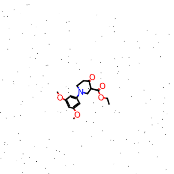 CCOC(=O)C1CN(c2cc(OC)cc(OC)c2)CCC1=O